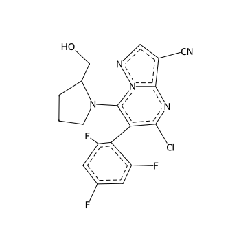 N#Cc1cnn2c(N3CCCC3CO)c(-c3c(F)cc(F)cc3F)c(Cl)nc12